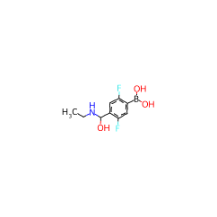 CCNC(O)c1cc(F)c(B(O)O)cc1F